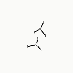 [I][V]([I])[I].[I][V]([I])[I]